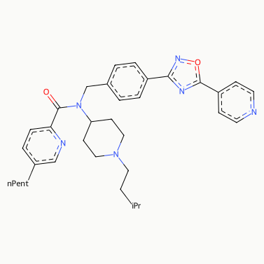 CCCCCc1ccc(C(=O)N(Cc2ccc(-c3noc(-c4ccncc4)n3)cc2)C2CCN(CCC(C)C)CC2)nc1